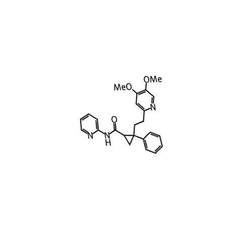 COc1cnc(CCC2(c3ccccc3)CC2C(=O)Nc2ccccn2)cc1OC